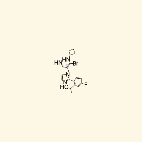 CC(O)c1cc(F)ccc1-c1nccn1C/C(C=N)=C(\Br)NC1CCC1